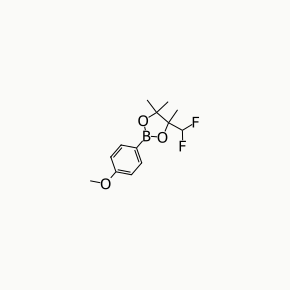 COc1ccc(B2OC(C)(C)C(C)(C(F)F)O2)cc1